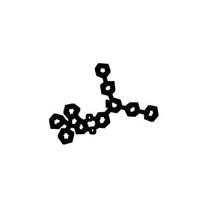 c1ccc(-c2ccc(-c3cc(-c4ccc(-c5ccccc5)cc4)nc(-c4ccc5c(c4)Oc4c(ccc6c4-c4ccccc4C6(c4ccccc4)c4ccccc4)O5)c3)cc2)cc1